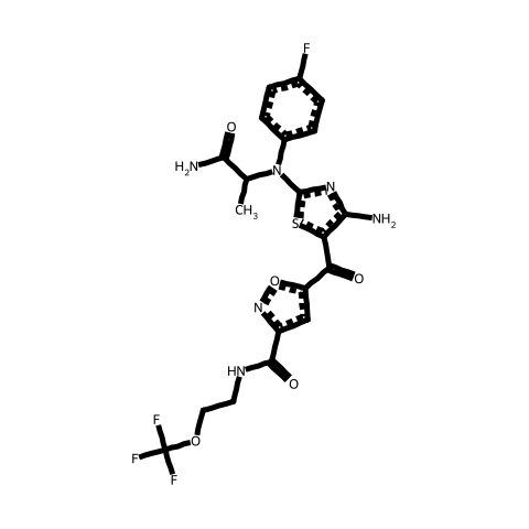 CC(C(N)=O)N(c1ccc(F)cc1)c1nc(N)c(C(=O)c2cc(C(=O)NCCOC(F)(F)F)no2)s1